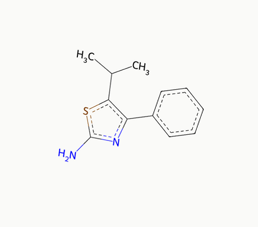 CC(C)c1sc(N)nc1-c1ccccc1